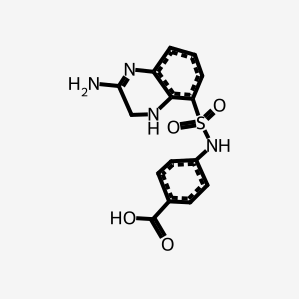 NC1=Nc2cccc(S(=O)(=O)Nc3ccc(C(=O)O)cc3)c2NC1